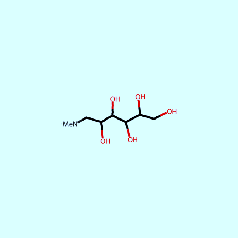 C[N]CC(O)C(O)C(O)C(O)CO